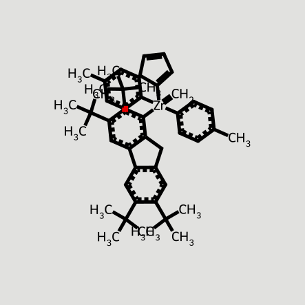 [CH2]=[Zr]([C]1=CC=CC1)([c]1ccc(C)cc1)([c]1ccc(C)cc1)[c]1c2c(cc(C(C)(C)C)c1C(C)(C)C)-c1cc(C(C)(C)C)c(C(C)(C)C)cc1C2